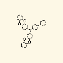 c1ccc(-c2ccc(N(c3ccc4c(c3)Oc3ccccc3O4)c3ccc4c(c3)Oc3ccccc3O4)cc2)cc1